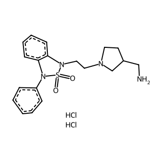 Cl.Cl.NCC1CCN(CCN2c3ccccc3N(c3ccccc3)S2(=O)=O)C1